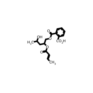 CC=CC(=O)OC(COC(=O)c1ccccc1C(=O)O)CC(C)O